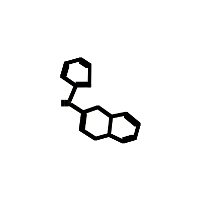 C1=CC2CC=C(Nc3ccccc3)CC2C=C1